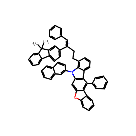 CC1(C)c2ccccc2-c2ccc(/C(=C\c3ccccc3)CCc3cccc4c5c(-c6ccccc6)c6c(cc5n(-c5ccc7ccccc7c5)c34)oc3ccccc36)cc21